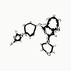 Fc1cn([C@H]2CC[C@@H](Oc3nc(N4CCOCC4)cc4ncccc34)CC2)cn1